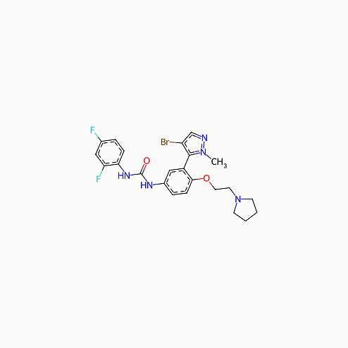 Cn1ncc(Br)c1-c1cc(NC(=O)Nc2ccc(F)cc2F)ccc1OCCN1CCCC1